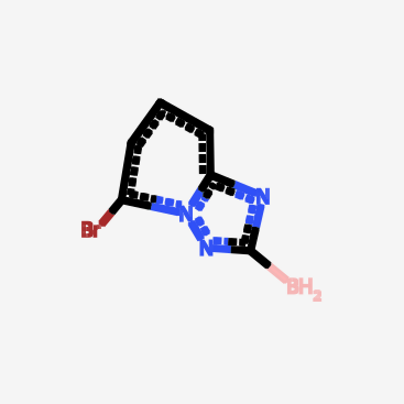 Bc1nc2cccc(Br)n2n1